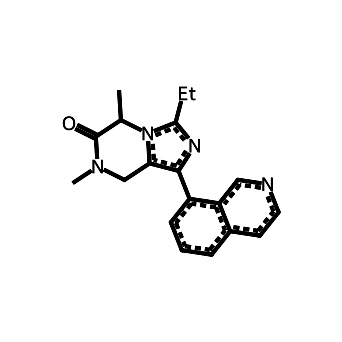 CCc1nc(-c2cccc3ccncc23)c2n1C(C)C(=O)N(C)C2